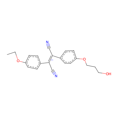 CCOc1ccc(/C(C#N)=C(\C#N)c2ccc(OCCCO)cc2)cc1